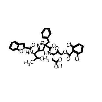 CC(C)[C@H](NC(=O)c1cc2ccccc2o1)C1=NOC(Cc2ccccc2)(C(=O)N[C@@H](CC(=O)O)C(=O)COC(=O)c2c(Cl)cccc2Cl)C1